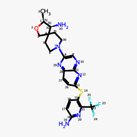 C[C@@H]1OCC2(CCN(c3cnc4nc(Sc5ccc(N)nc5C(F)(F)F)ccc4n3)CC2)[C@@H]1N